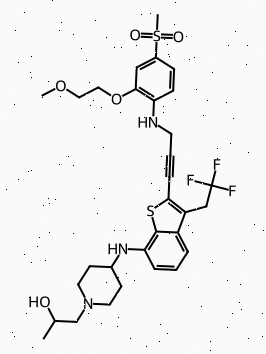 COCCOc1cc(S(C)(=O)=O)ccc1NCC#Cc1sc2c(NC3CCN(CC(C)O)CC3)cccc2c1CC(F)(F)F